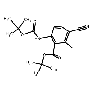 CC(C)(C)OC(=O)Nc1ccc(C#N)c(F)c1C(=O)OC(C)(C)C